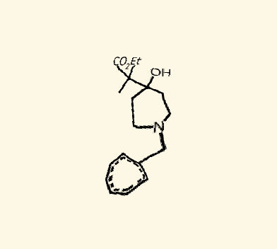 CCOC(=O)C(C)(C)C1(O)CCN(Cc2ccccc2)CC1